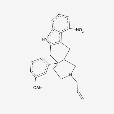 C=CCN1CCC2(c3cccc(OC)c3)Cc3[nH]c4cccc([N+](=O)[O-])c4c3CC2C1